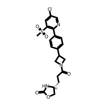 CS(=O)(=O)c1cc(Cl)cnc1-c1ccc(C2CN(C(=O)CC[C@@H]3COC(=O)N3)C2)cc1